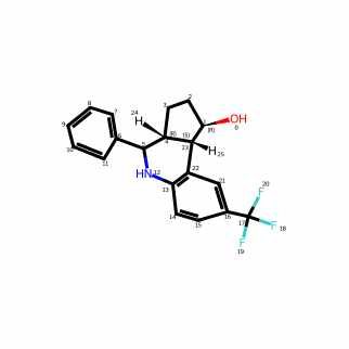 O[C@@H]1CC[C@H]2C(c3ccccc3)Nc3ccc(C(F)(F)F)cc3[C@@H]12